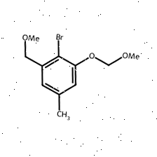 COCOc1cc(C)cc(COC)c1Br